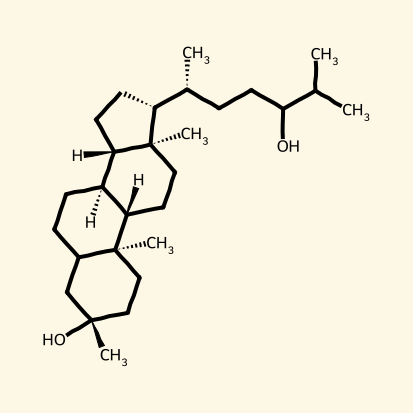 CC(C)C(O)CC[C@@H](C)[C@H]1CC[C@H]2[C@@H]3CCC4C[C@@](C)(O)CC[C@]4(C)[C@H]3CC[C@]12C